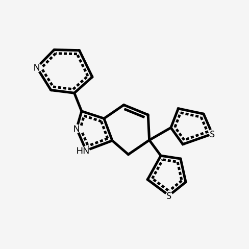 C1=CC(c2ccsc2)(c2ccsc2)Cc2[nH]nc(-c3cccnc3)c21